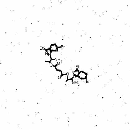 CCc1nn(C(N)C(C)OC(=O)/C=C/C(=O)OC(C)C(N)n2nc(CC)c3ccc(Br)cc32)c2cc(Br)ccc12